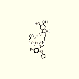 O=C(O)C=CC(=O)O.O=C1C2CC(O)C(O)CC2C(=O)N1CCCN1CCN(c2cc(F)ccc2OC2CCCC2)CC1